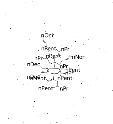 CCCCCCCC=C(CC(CCC)CCCCC)C(C=CCCCCCCCCCCC)(CC(CCC)CCCCC)C(CC=CCCCCCCCCCC)(CC(CCC)CCCCC)C(CCC=CCCCCCCCCC)(CC(CCC)CCCCC)[C](CCCC=CCCCCCCCC)CC(CCC)CCCCC